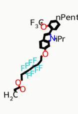 C=CC(=O)OCCC(F)(F)C(F)(F)C(F)(F)C(F)(F)CCOc1ccc2cc(-c3ccc(CCCCC)cc3OC(F)(F)F)n(C(C)C)c2c1